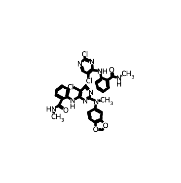 CNC(=O)c1ccccc1Nc1nc(Cl)ncc1Cl.CNC(=O)c1ccccc1Nc1nc(N(C)c2ccc3c(c2)OCO3)ncc1Cl